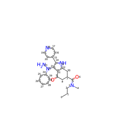 CCCN(C)C(=O)C1CC(=O)c2c([nH]c(-c3ccncc3)c2N(N)c2ccccc2)C1